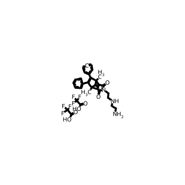 CC12C(=O)C(C)(C(c3ccccc3)=C1c1ccccc1)C1C(=O)N(CCNCCN)C(=O)C12.O=C(O)C(F)(F)F.O=C(O)C(F)(F)F